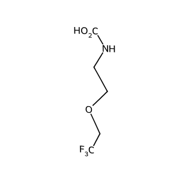 O=C(O)NCCOCC(F)(F)F